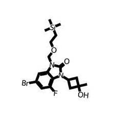 CC1(O)CC(n2c(=O)n(COCC[Si](C)(C)C)c3cc(Br)cc(F)c32)C1